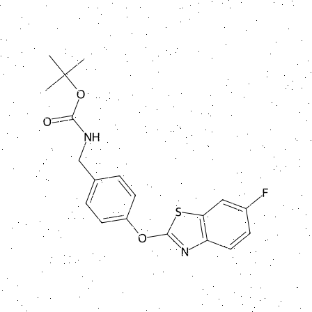 CC(C)(C)OC(=O)NCc1ccc(Oc2nc3ccc(F)cc3s2)cc1